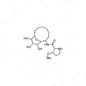 CCCCOC1CCNC1C(=O)NC1CCCCCSC2OC1C(O)C(O)C2O